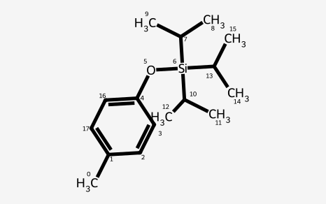 Cc1ccc(O[Si](C(C)C)(C(C)C)C(C)C)cc1